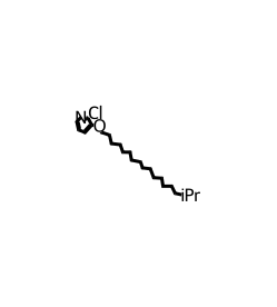 CC(C)CCCCCCCCCCCCCCCOc1cccnc1Cl